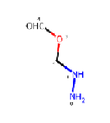 NNCO[C]=O